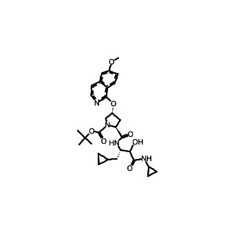 COc1ccc2c(O[C@@H]3C[C@@H](C(=O)N[C@@H](CC4CC4)C(O)C(=O)NC4CC4)N(C(=O)OC(C)(C)C)C3)nccc2c1